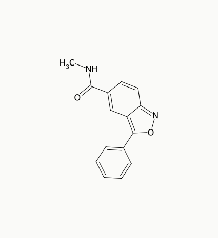 CNC(=O)c1ccc2noc(-c3ccccc3)c2c1